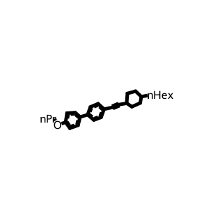 CCCCCCC1CCC(C#Cc2ccc(-c3ccc(OCCC)cc3)cc2)CC1